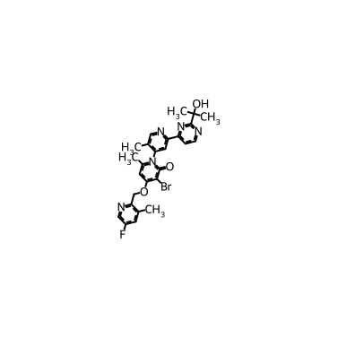 Cc1cnc(-c2ccnc(C(C)(C)O)n2)cc1-n1c(C)cc(OCc2ncc(F)cc2C)c(Br)c1=O